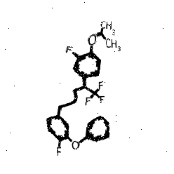 CC(C)Oc1ccc(C(CCCc2ccc(F)c(Oc3ccccc3)c2)C(F)(F)F)cc1F